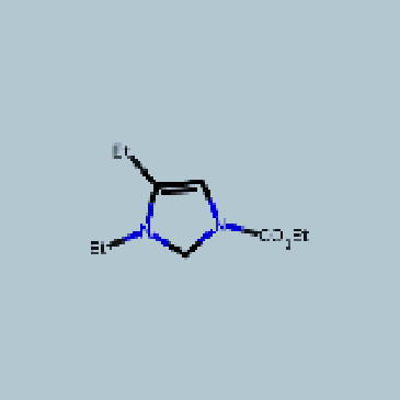 CCOC(=O)N1C=C(CC)N(CC)C1